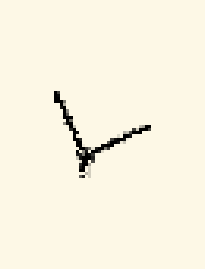 CCCCCCCCCCCCCCCCOP(=O)(OCCS)OCCCCCCCCCCCCCCCC